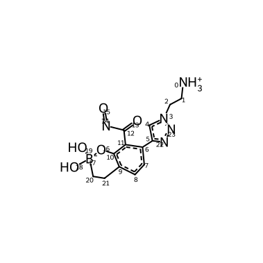 [NH3+]CCn1cc(-c2ccc3c(c2C(=O)N=O)O[B-](O)(O)CC3)nn1